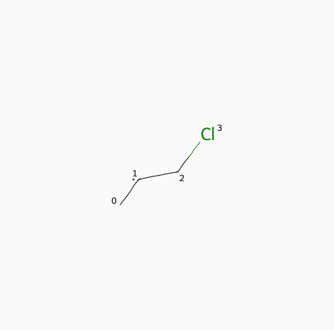 C[CH]CCl